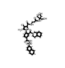 Cc1c(Cl)c(C(=O)NCCC(=O)NC(CO)(CO)CO)nn1-c1ccc(C(=O)NS(=O)(=O)c2ccc3ccccc3c2)cc1C(=O)N1CCc2ccccc2C1